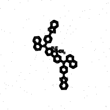 CC1(C)c2cc(N(c3ccc(-c4nc5ccccc5s4)cc3)c3cccc4ccccc34)ccc2-c2ccc(N(c3ccc(-c4nc5ccccc5s4)cc3)c3cccc4ccccc34)cc21